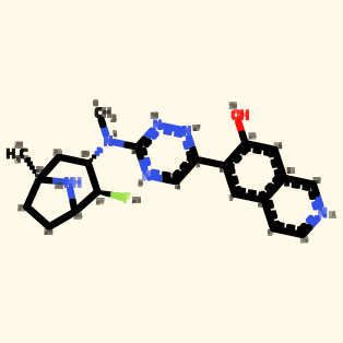 CN(c1ncc(-c2cc3ccncc3cc2O)nn1)[C@H]1C[C@]2(C)CCC(N2)[C@@H]1F